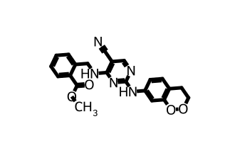 COC(=O)c1ccccc1CNc1nc(Nc2ccc3c(c2)OOCC3)ncc1C#N